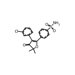 CC1(C)OC(c2ccc(S(N)(=O)=O)cc2)=C(c2cccc(Cl)c2)C1=O